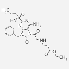 CCCS(=N)(=O)c1nc(N)c2c(n1)n(Cc1ccccc1)c(=O)n2C(=O)CNCCC(=O)OCC